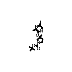 Cc1nc(I)cnc1OC1(C)CCN(C(=O)OC(C)(C)C)C1